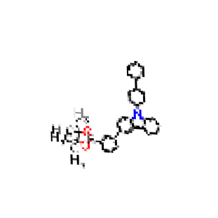 CC1(C)OB(c2cccc(-c3ccc4c(c3)c3ccccc3n4-c3ccc(-c4ccccc4)cc3)c2)OC1(C)C